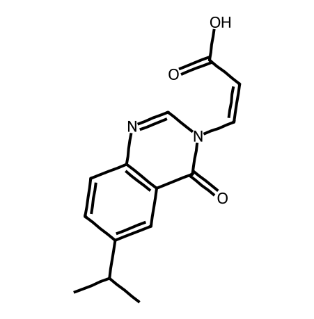 CC(C)c1ccc2ncn(/C=C\C(=O)O)c(=O)c2c1